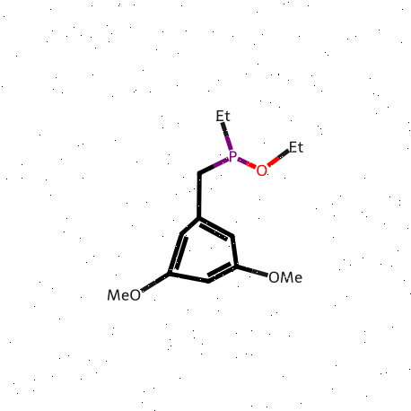 CCOP(CC)Cc1cc(OC)cc(OC)c1